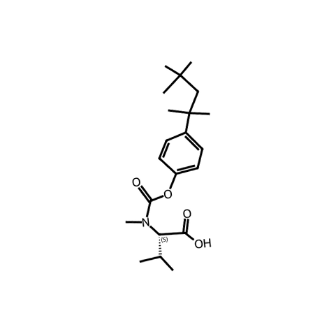 CC(C)[C@@H](C(=O)O)N(C)C(=O)Oc1ccc(C(C)(C)CC(C)(C)C)cc1